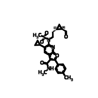 CNC(=O)c1c(-c2ccc(C)cc2)oc2nc(N(CC[C@@H]3C[C@H]3C=O)S(C)(=O)=O)c(C3CC3)cc12